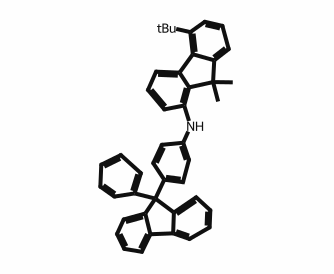 CC(C)(C)c1cccc2c1-c1cccc(Nc3ccc(C4(c5ccccc5)c5ccccc5-c5ccccc54)cc3)c1C2(C)C